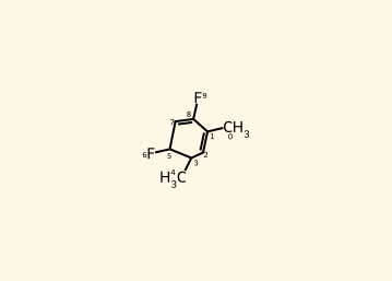 CC1=CC(C)C(F)C=C1F